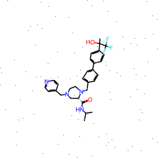 CC(C)NC(=O)[C@@H]1CN(Cc2ccncc2)CCN1Cc1ccc(-c2ccc(C(C)(O)C(F)(F)F)cc2)cc1